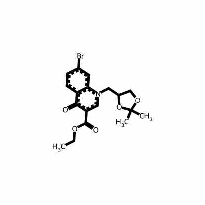 CCOC(=O)c1cn(CC2COC(C)(C)O2)c2cc(Br)ccc2c1=O